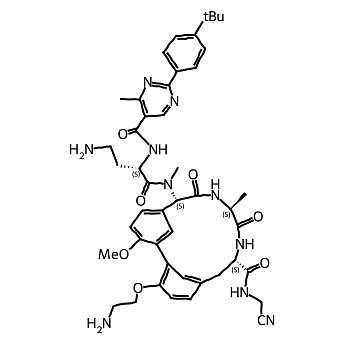 COc1ccc2cc1-c1cc(ccc1OCCN)C[C@@H](C(=O)NCC#N)NC(=O)[C@H](C)NC(=O)[C@H]2N(C)C(=O)[C@H](CCN)NC(=O)c1cnc(-c2ccc(C(C)(C)C)cc2)nc1C